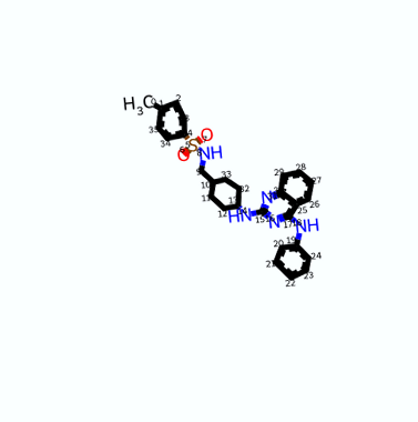 Cc1ccc(S(=O)(=O)NCC2CCC(Nc3nc(Nc4ccccc4)c4ccccc4n3)CC2)cc1